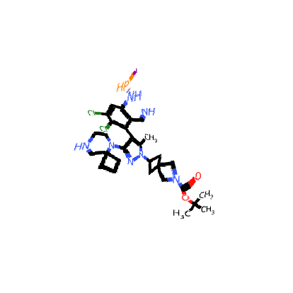 Cc1c(-c2c(Cl)c(Cl)cc(NPI)c2C=N)c(N2CCNCC23CCC3)nn1C1CC2(C1)CN(C(=O)OC(C)(C)C)C2